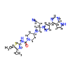 Cc1nc(NC(=O)N2CCC(N3CC(CC#N)(n4cc(-c5ncnc6[nH]ccc56)cn4)C3)CC2)sc1C